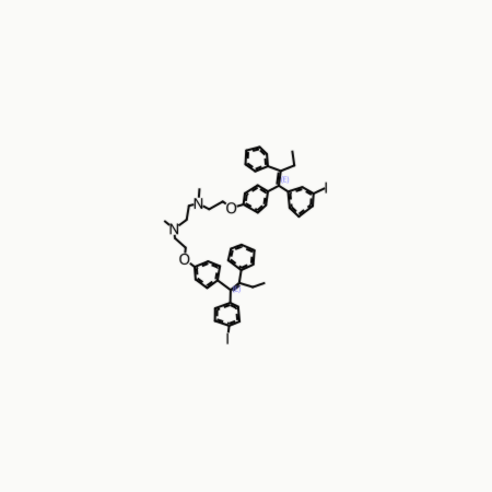 CC/C(=C(\c1ccc(I)cc1)c1ccc(OCCN(C)CCN(C)CCOc2ccc(/C(=C(/CC)c3ccccc3)c3cccc(I)c3)cc2)cc1)c1ccccc1